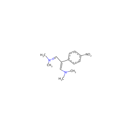 CN(C)/C=C(/C=[N+](C)C)c1ccc([N+](=O)[O-])cc1